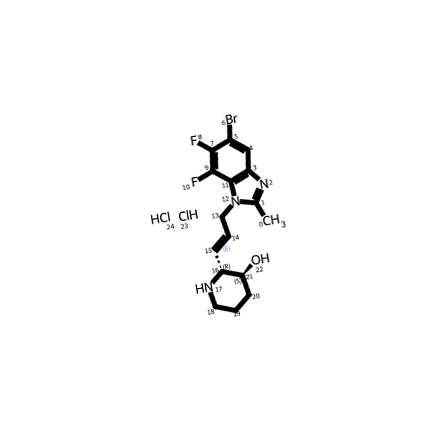 Cc1nc2cc(Br)c(F)c(F)c2n1C/C=C/[C@H]1NCCC[C@@H]1O.Cl.Cl